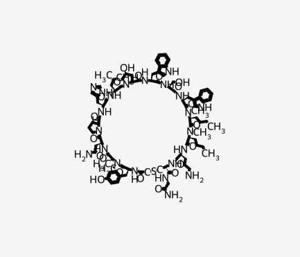 CCCC[C@H]1C(=O)N(C)[C@@H](CCCC)C(=O)N[C@@H](CCCN)C(=O)N[C@H](C(=O)NCC(N)=O)CSCC(=O)N[C@@H](Cc2ccc(O)cc2)C(=O)N(C)[C@@H](C)C(=O)N[C@@H](CC(N)=O)C(=O)N2CCC[C@H]2C(=O)N[C@@H](Cc2cnc[nH]2)C(=O)N[C@@H](CC(C)C)C(=O)N2C[C@H](O)C[C@H]2C(=O)N[C@@H](Cc2c[nH]c3ccccc23)C(=O)N[C@@H](CO)C(=O)N[C@@H](Cc2c[nH]c3ccccc23)C(=O)N1C